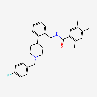 Cc1cc(C)c(C(=O)NCc2ccccc2C2CCN(Cc3ccc(F)cc3)CC2)cc1C